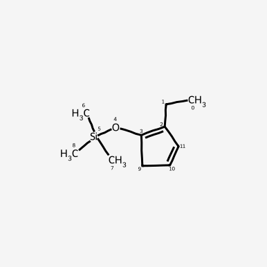 CCC1=C(O[Si](C)(C)C)CC=C1